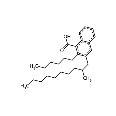 CCCCCCCCC(C)Cc1cc2ccccc2c(C(=O)O)c1CCCCCC